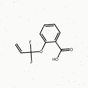 C=CC(F)(F)Oc1ccccc1C(=O)O